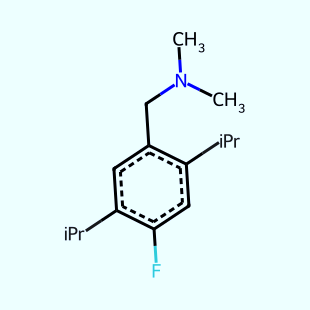 CC(C)c1cc(CN(C)C)c(C(C)C)cc1F